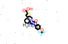 CC(C)(C)C1(N(Cc2ccc(C(=O)O)s2)C(=O)Nc2ccc(OC(F)(F)F)cc2)CCCCC1